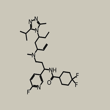 C=CC(CC(CC)n1c(C)nnc1C(C)C)N(C)CCC(NC(=O)C1CCC(F)(F)CC1)c1ccc(F)nc1